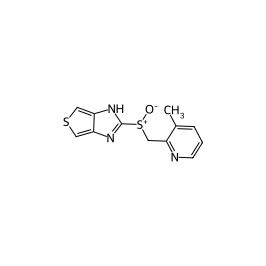 Cc1cccnc1C[S+]([O-])c1nc2cscc2[nH]1